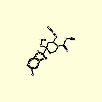 CC(C)(C)OC(=O)N1CCC(OC(C)(C)C)(c2nc3ccc(Cl)cc3[nH]2)CC1N=C=O